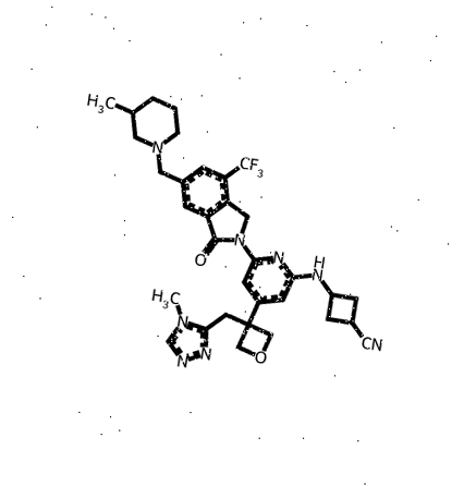 CC1CCCN(Cc2cc3c(c(C(F)(F)F)c2)CN(c2cc(C4(Cc5nncn5C)COC4)cc(NC4CC(C#N)C4)n2)C3=O)C1